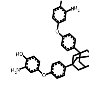 Nc1cc(Oc2ccc(C34CC5CC(C3)CC(c3ccc(Oc6ccc(O)c(N)c6)cc3)(C5)C4)cc2)ccc1O